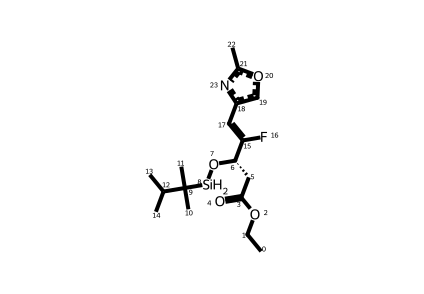 CCOC(=O)C[C@H](O[SiH2]C(C)(C)C(C)C)/C(F)=C/c1coc(C)n1